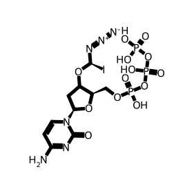 [N-]=[N+]=N[C@@H](I)OC1C[C@H](n2ccc(N)nc2=O)O[C@@H]1COP(=O)(O)OP(=O)(O)OP(=O)(O)O